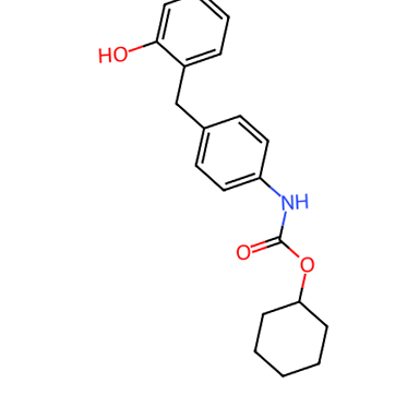 O=C(Nc1ccc(Cc2ccccc2O)cc1)OC1CCCCC1